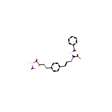 Cc1oc(-c2ccccc2)nc1CC=Cc1ccc(CCC2OC(=O)NC2=O)cc1